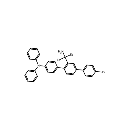 CCC(N)(CC)c1cc(-c2ccc(C(C)C)cc2)ccc1-c1ccc(N(c2ccccc2)c2ccccc2)cc1